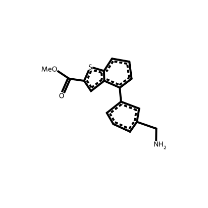 COC(=O)c1cc2c(-c3cccc(CN)c3)cccc2s1